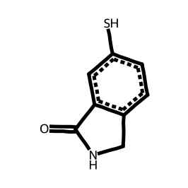 O=C1NCc2ccc(S)cc21